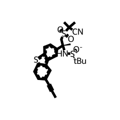 CC#Cc1ccc2sc3ccc([C@](C)(CS(=O)(=O)C(C)(C)C#N)N[S@+]([O-])C(C)(C)C)cc3c2c1